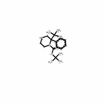 CC(C)(C)OC(=O)N1CCNCC1(c1ccccc1)C(C)(C)C